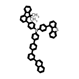 CC1(C)c2ccccc2-c2cccc(-c3ccc(N(c4ccc(-c5ccc(-c6cccc(-c7ccc8ccccc8c7)c6)cc5)cc4)c4ccc(-c5cccc6sc7ccccc7c56)cc4)cc3)c21